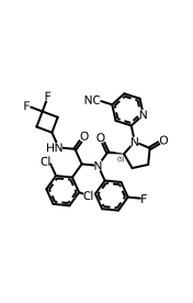 N#Cc1ccnc(N2C(=O)CC[C@H]2C(=O)N(c2cccc(F)c2)C(C(=O)NC2CC(F)(F)C2)c2c(Cl)cccc2Cl)c1